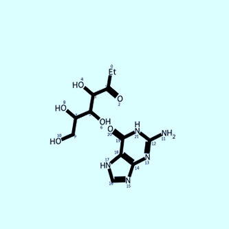 CCC(=O)C(O)C(O)C(O)CO.Nc1nc2nc[nH]c2c(=O)[nH]1